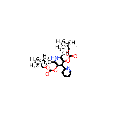 CC1=C(OC(=O)OC[Si](C)(C)C)C(c2ccccn2)C(OC(=O)OC[Si](C)(C)C)=C(C)N1